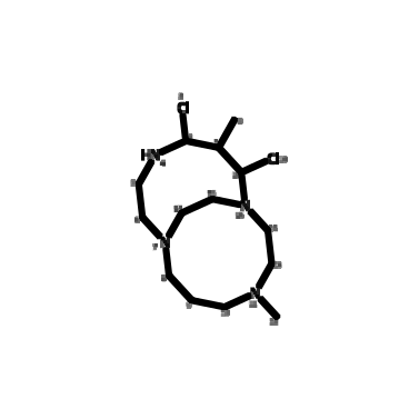 CC1C(Cl)NCCN2CCCN(C)CCN(CC2)C1Cl